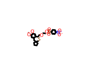 COc1cc2c(cc1OC)C(COCCOS(=O)(=O)c1ccc([N+](=O)[O-])cc1)SCC1(CCCC1)C2